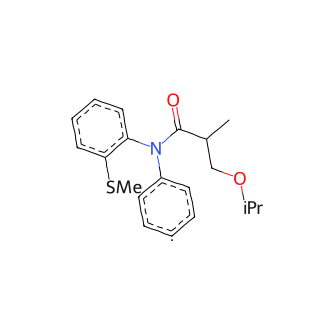 CSc1ccccc1N(C(=O)C(C)COC(C)C)c1cc[c]cc1